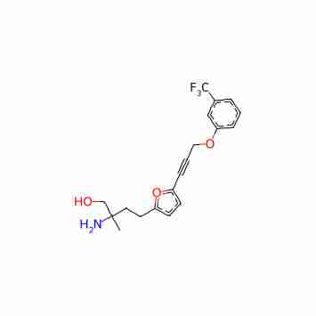 CC(N)(CO)CCc1ccc(C#CCOc2cccc(C(F)(F)F)c2)o1